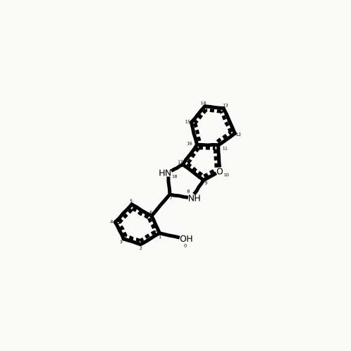 Oc1ccccc1C1Nc2oc3ccccc3c2N1